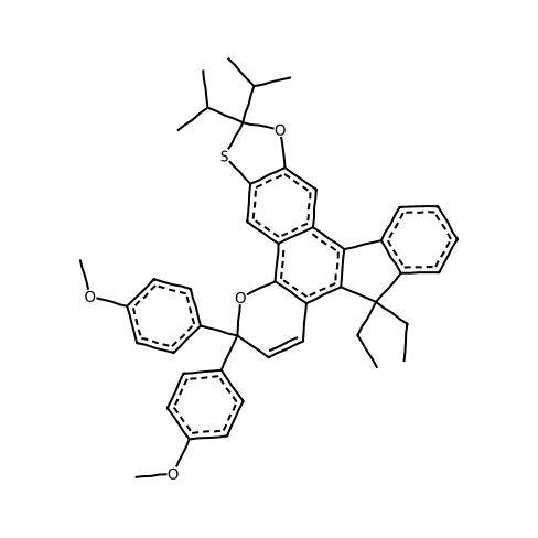 CCC1(CC)c2ccccc2-c2c1c1c(c3cc4c(cc23)OC(C(C)C)(C(C)C)S4)OC(c2ccc(OC)cc2)(c2ccc(OC)cc2)C=C1